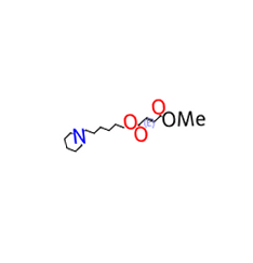 COC(=O)/C=C/C(=O)OCCCCCCN1CCCCC1